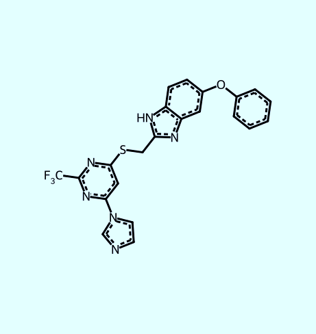 FC(F)(F)c1nc(SCc2nc3cc(Oc4ccccc4)ccc3[nH]2)cc(-n2ccnc2)n1